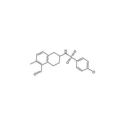 Cc1ccc2c(c1C=O)CCC(NS(=O)(=O)c1ccc(Cl)cc1)C2